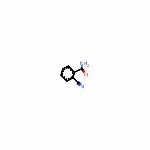 N#Cc1ccccc1C(N)=O